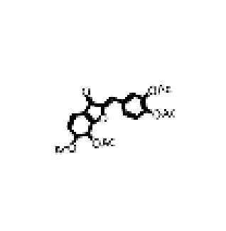 CC(=O)Oc1ccc(C=C2OC3=C(C=CC(OC(C)=O)C3OC(C)=O)C2=O)cc1OC(C)=O